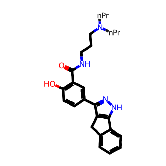 CCCN(CCC)CCCNC(=O)c1cc(-c2n[nH]c3c2Cc2ccccc2-3)ccc1O